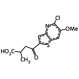 COc1cc2sc(C(=O)CC(C)C(=O)O)cc2nc1Cl